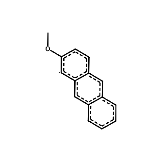 COc1[c]c2cc3ccccc3cc2cc1